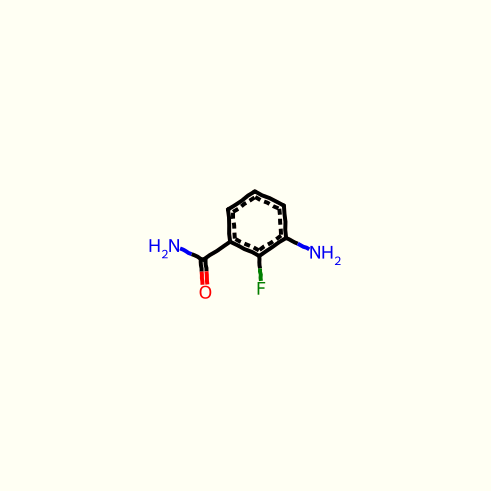 NC(=O)c1cccc(N)c1F